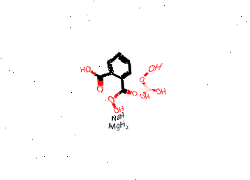 O=C(O)c1ccccc1C(=O)OO.OOB(O)O.[MgH2].[NaH]